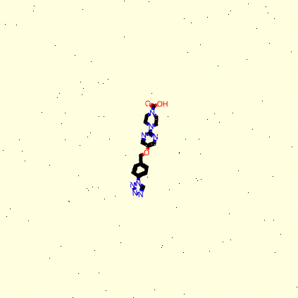 O=C(O)N1CCN(c2ncc(OCc3ccc(-n4cnnn4)cc3)cn2)CC1